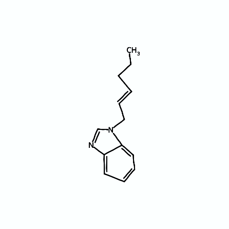 CCCC=CCn1cnc2ccccc21